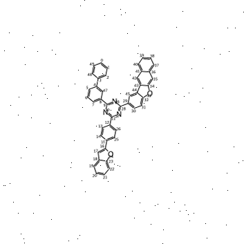 c1ccc(-c2cccc(-c3nc(-c4ccc(-c5cc6ccccc6o5)cc4)nc(-c4ccc5oc6cc7ccccc7cc6c5c4)n3)c2)cc1